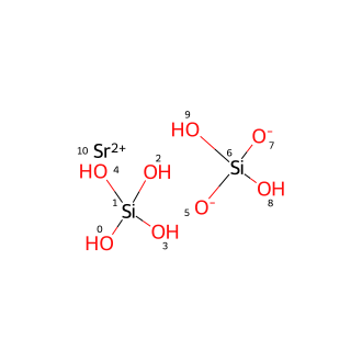 O[Si](O)(O)O.[O-][Si]([O-])(O)O.[Sr+2]